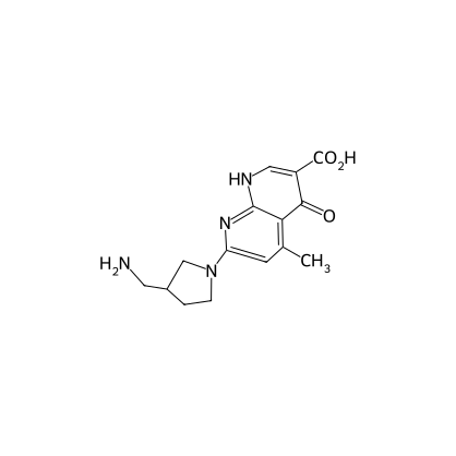 Cc1cc(N2CCC(CN)C2)nc2[nH]cc(C(=O)O)c(=O)c12